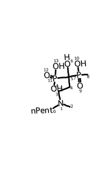 CCCCCN(C)CCC(O)(P(C)(=O)O)P(=O)(O)O